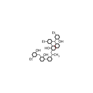 CCc1ccc(O)c(Cc2cccc(-c3cccc(C(C)Cc4cccc(-c5cc(CC)ccc5C(c5ccccc5)c5cc(CC)ccc5O)c4O)c3)c2O)c1